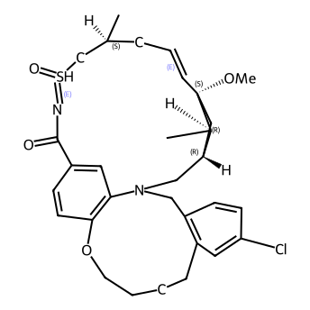 CO[C@@]12/C=C/C[C@H](C)C/[SH](=O)=N\C(=O)c3ccc4c(c3)N(Cc3ccc(Cl)cc3CCCCO4)C[C@H](C1)[C@H]2C